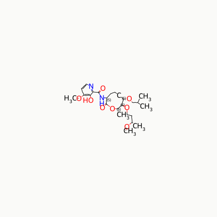 COc1ccnc(C(=O)N[C@H]2CCC[C@H](OCC(C)C)[C@@H](OCCC(C)OC)[C@H](C)OC2=O)c1O